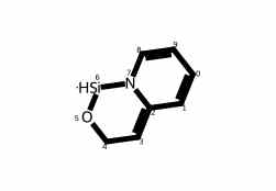 C1=CC2=CCO[SiH]N2C=C1